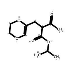 CC(=O)C(CC1=COCCO1)C(=O)OC(C)C